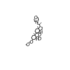 COCO[C@H]1CC[C@]2(C)C3=C(OC(=O)[C@H]2C1)[C@@H]1CC[C@H]([C@H](C)CN2CCOCC2)[C@@]1(C)CC3